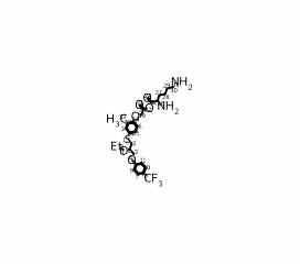 CCOC(COc1ccc(C(F)(F)F)cc1)CSc1ccc(OCC(=O)OC(=O)[C@@H](N)CCCCN)c(C)c1